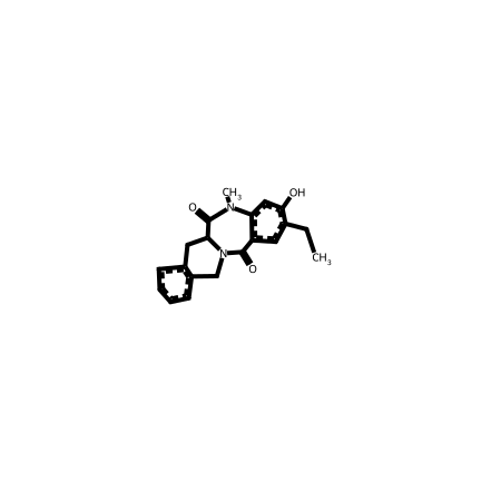 CCc1cc2c(cc1O)N(C)C(=O)C1Cc3ccccc3CN1C2=O